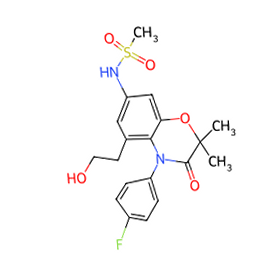 CC1(C)Oc2cc(NS(C)(=O)=O)cc(CCO)c2N(c2ccc(F)cc2)C1=O